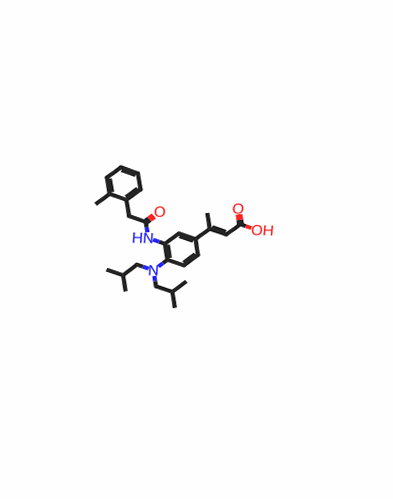 C/C(=C\C(=O)O)c1ccc(N(CC(C)C)CC(C)C)c(NC(=O)Cc2ccccc2C)c1